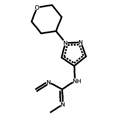 C=N/C(=N\C)Nc1cnn(C2CCOCC2)c1